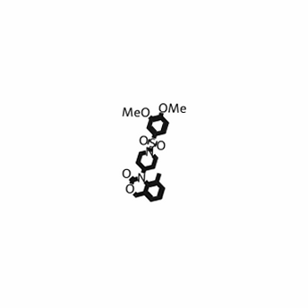 COc1ccc(S(=O)(=O)N2CCC(N3C(=O)OCc4cccc(C)c43)CC2)cc1OC